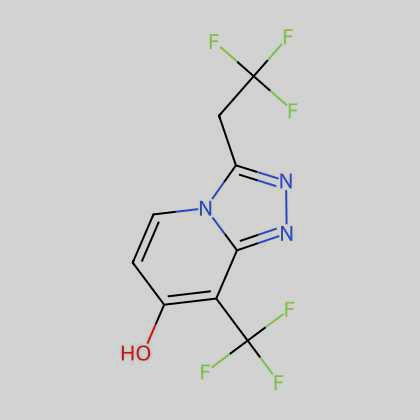 Oc1ccn2c(CC(F)(F)F)nnc2c1C(F)(F)F